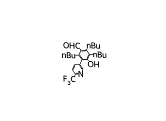 CCCCc1c(O)c(-c2ccc(C(F)(F)F)nc2)c(CCCC)c(C=O)c1CCCC